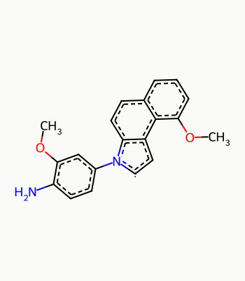 COc1cc(-n2[c]cc3c4c(OC)cccc4ccc32)ccc1N